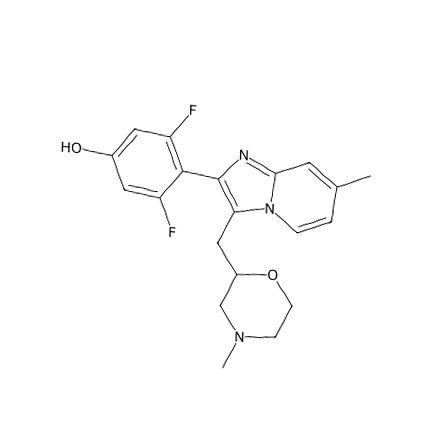 Cc1ccn2c(CC3CN(C)CCO3)c(-c3c(F)cc(O)cc3F)nc2c1